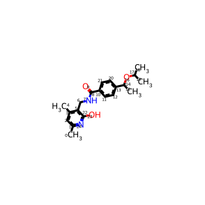 Cc1cc(C)c(CNC(=O)c2ccc(C(C)OC(C)C)cc2)c(O)n1